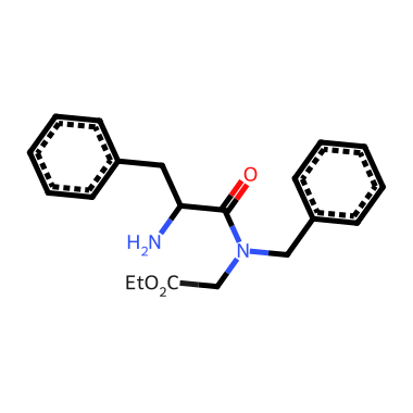 CCOC(=O)CN(Cc1ccccc1)C(=O)C(N)Cc1ccccc1